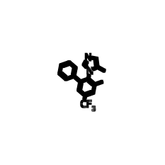 Cc1cc(C(F)(F)F)cc(-c2ccccc2)c1-n1cncc1C